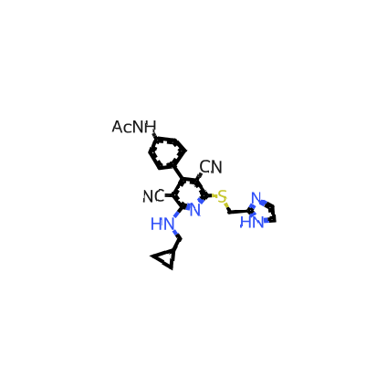 CC(=O)Nc1ccc(-c2c(C#N)c(NCC3CC3)nc(SCc3ncc[nH]3)c2C#N)cc1